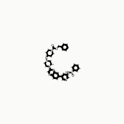 O=C(OCc1ccccc1)N1CCC(SN2CCN(c3cnc4ccc(-c5cncc(N[S+]([O-])c6ccccc6)c5)cc4n3)CC2)CC1